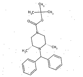 C[C@@H]1CN(C(=O)OC(C)(C)C)C[C@H](C)N1C(c1ccccc1)c1ccccc1